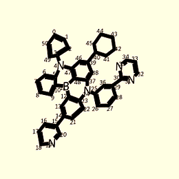 c1ccc(N2c3ccccc3B3c4cc(-c5cccnc5)ccc4N(c4cccc(-c5ncccn5)c4)c4cc(C5CCCCC5)cc2c43)cc1